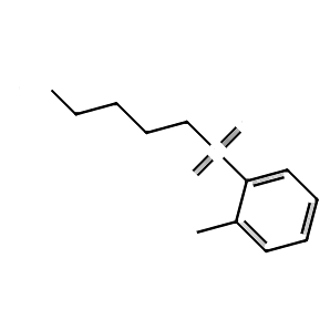 CCCCCCCCCCCCS(=O)(=O)c1ccccc1C